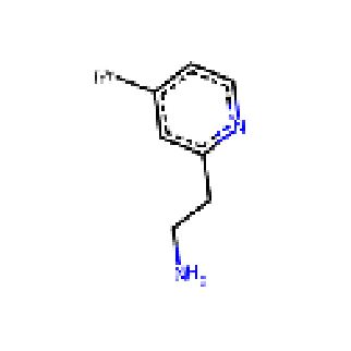 CC(C)c1ccnc(CCN)c1